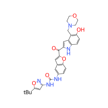 CC(C)(C)c1cc(NC(=O)Nc2ccc3oc(C(=O)c4cc5c(CN6CCOCC6)c(O)ccc5[nH]4)cc3c2)no1